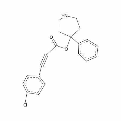 O=C(C#Cc1ccc(Cl)cc1)OC1(c2ccccc2)CCNCC1